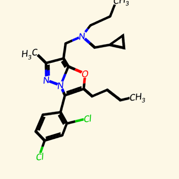 CCCCc1oc2c(CN(CCC)CC3CC3)c(C)nn2c1-c1ccc(Cl)cc1Cl